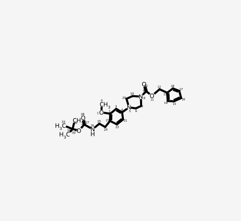 COc1cc(N2CCN(C(=O)OCc3ccccc3)CC2)ccc1CCNC(=O)OC(C)(C)C